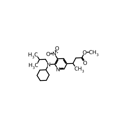 COC(=O)CC(C)c1cnc(N(CC(C)C)C2CCCCC2)c([N+](=O)[O-])c1